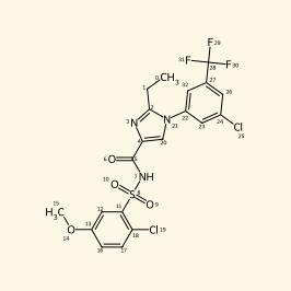 CCc1nc(C(=O)NS(=O)(=O)c2cc(OC)ccc2Cl)cn1-c1cc(Cl)cc(C(F)(F)F)c1